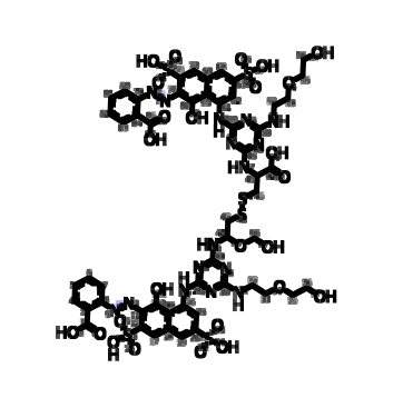 O=C(O)c1ccccc1/N=N/c1c(S(=O)(=O)O)cc2cc(S(=O)(=O)O)cc(Nc3nc(NCCOCCO)nc(NC(CSSCC(Nc4nc(NCCOCCO)nc(Nc5cc(S(=O)(=O)O)cc6cc(S(=O)(=O)O)c(/N=N/c7ccccc7C(=O)O)c(O)c56)n4)C(=O)O)OCO)n3)c2c1O